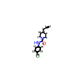 C#CCC1CCN(C(=O)Nc2ccc(Cl)cc2)CC1